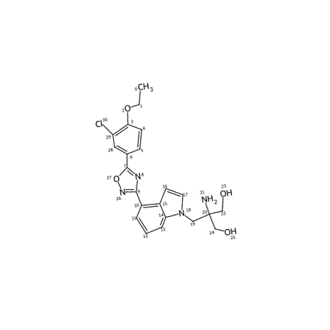 CCOc1ccc(-c2nc(-c3cccc4c3ccn4CC(N)(CO)CO)no2)cc1Cl